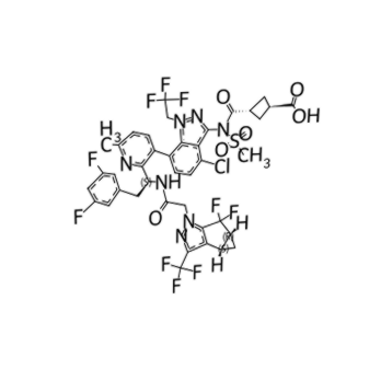 Cc1ccc(-c2ccc(Cl)c3c(N(C(=O)[C@H]4C[C@H](C(=O)O)C4)S(C)(=O)=O)nn(CC(F)(F)F)c23)c([C@H](Cc2cc(F)cc(F)c2)NC(=O)Cn2nc(C(F)(F)F)c3c2C(F)(F)[C@@H]2C[C@H]32)n1